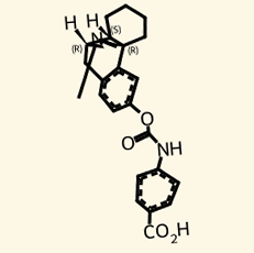 CN1CC[C@]23CCCC[C@H]2[C@@H](Cc2ccc(OC(=O)Nc4ccc(C(=O)O)cc4)cc23)C1